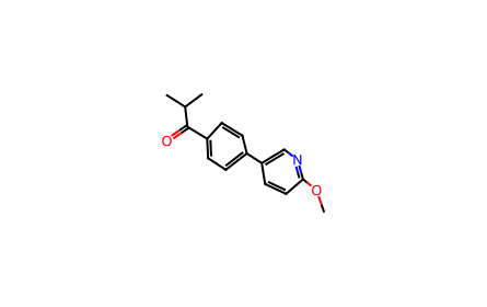 COc1ccc(-c2ccc(C(=O)C(C)C)cc2)cn1